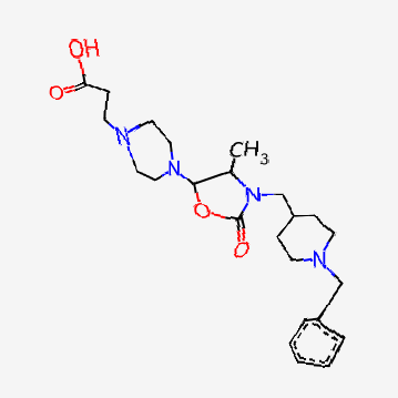 CC1C(N2CCN(CCC(=O)O)CC2)OC(=O)N1CC1CCN(Cc2ccccc2)CC1